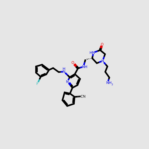 N#Cc1ccccc1-c1ccc(C(=O)NC[C@H]2CN(CCCN)CC(=O)N2)c(NCCc2cccc(F)c2)n1